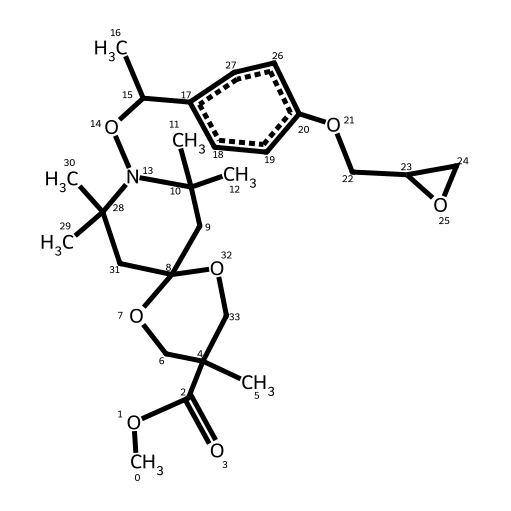 COC(=O)C1(C)COC2(CC(C)(C)N(OC(C)c3ccc(OCC4CO4)cc3)C(C)(C)C2)OC1